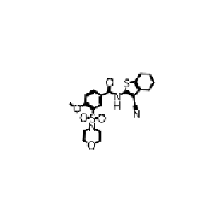 COc1ccc(C(=O)Nc2sc3c(c2C#N)CCCC3)cc1S(=O)(=O)N1CCOCC1